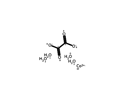 O.O.O.O.O=C([O-])C(=O)[O-].[Co+2]